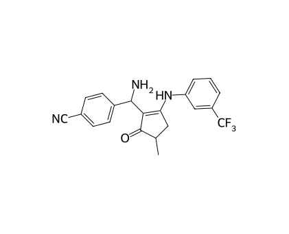 CC1CC(Nc2cccc(C(F)(F)F)c2)=C(C(N)c2ccc(C#N)cc2)C1=O